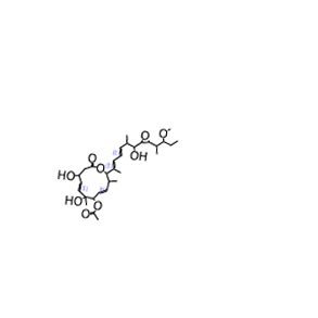 CCC(OC)C(C)C1OC1C(O)C(C)/C=C/C=C(\C)C1OC(=O)CC(O)/C=C/C(C)(O)C(OC(C)=O)/C=C/C1C